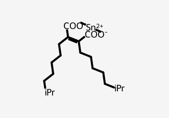 CC(C)CCCCCC(C(=O)[O-])=C(CCCCCC(C)C)C(=O)[O-].[CH3][Sn+2][CH3]